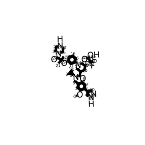 COc1cc(CN(C(=O)C2CCCN(c3cccc(OC(C)(C)C(=O)N4CCNCC4)c3)C2)C2CC2)ccc1-c1cn[nH]c1.O=C(O)C(F)(F)F